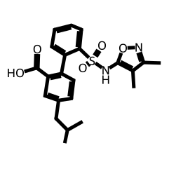 Cc1noc(NS(=O)(=O)c2ccccc2-c2ccc(CC(C)C)cc2C(=O)O)c1C